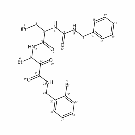 CCC(NC(=O)C(CC(C)C)NC(=O)NCc1ccccc1)C(=O)C(=O)NCc1ccccc1Br